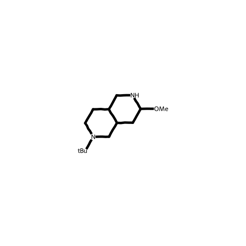 COC1CC2CN(C(C)(C)C)CCC2CN1